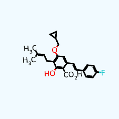 CC(C)=CCc1c(OCC2CC2)cc(C=Cc2ccc(F)cc2)c(C(=O)O)c1O